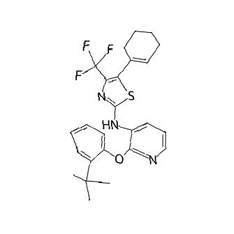 CC(C)(C)c1ccccc1Oc1ncccc1Nc1nc(C(F)(F)F)c(C2=CCCCC2)s1